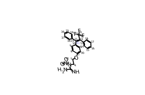 N=C(N)N(CCOc1ccc(/C(=C(\c2ccccc2)C(F)(F)F)c2ccccc2)cc1)[N+](=O)[O-]